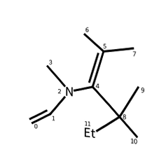 C=CN(C)C(=C(C)C)C(C)(C)CC